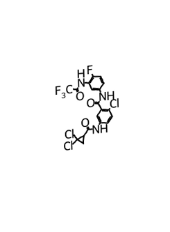 O=C(Nc1ccc(F)c(NC(=O)C(F)(F)F)c1)c1cc(NC(=O)C2CC2(Cl)Cl)ccc1Cl